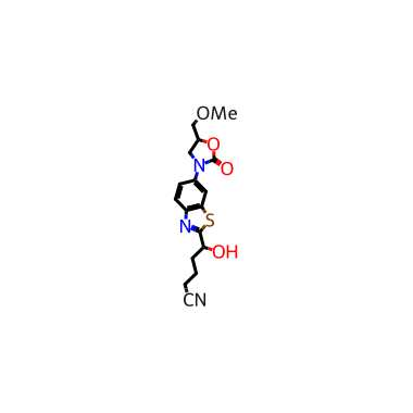 COCC1CN(c2ccc3nc(C(O)CCCC#N)sc3c2)C(=O)O1